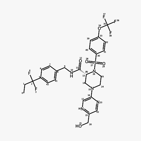 CCC(F)(F)c1ccc(CNC(=O)[C@H]2CN(c3cnc(CO)cn3)CCN2S(=O)(=O)c2ccc(OC(F)(F)F)cc2)cc1